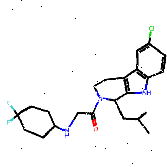 CC(C)CC1c2[nH]c3ccc(Cl)cc3c2CCN1C(=O)CNC1CCC(F)(F)CC1